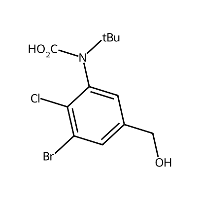 CC(C)(C)N(C(=O)O)c1cc(CO)cc(Br)c1Cl